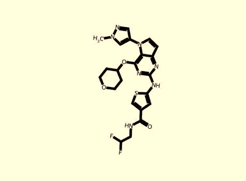 Cn1cc(-n2ccc3nc(Nc4cc(C(=O)NCC(F)F)cs4)nc(OC4CCOCC4)c32)cn1